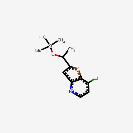 CC(O[Si](C)(C)C(C)(C)C)c1cc2nccc(Cl)c2s1